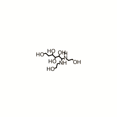 OCCNC(NCCO)C(O)C(O)C(O)CCO